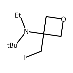 CCN(C(C)(C)C)C1(CI)COC1